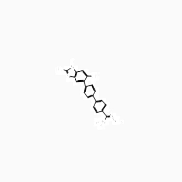 N/N=C(\N)c1ccc(-c2ccc(-c3cc4nc(O)[nH]c4cc3Cl)cc2)cc1